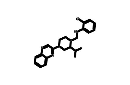 CC(C)C1CN(c2cnc3ccccc3n2)CCN1CNc1ccccc1Cl